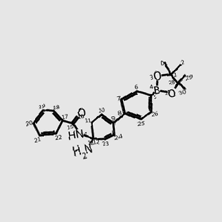 CC1(C)OB(c2ccc(C3=CCC(N)(NC(=O)c4ccccc4)C=C3)cc2)OC1(C)C